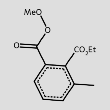 CCOC(=O)c1c(C)cccc1C(=O)OOC